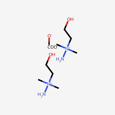 C[N+](C)(N)CCO.C[N+](C)(N)CCO.O=C([O-])[O-]